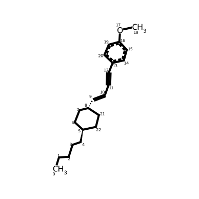 CCCCC[C@H]1CC[C@H](C=CC#Cc2ccc(OC)cc2)CC1